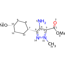 COC(=O)c1c(N)c([C@H]2CC[C@@H](OC)CC2)nn1C